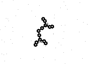 c1cc(-c2ccc(-c3cc(-c4ccc5ccccc5c4)nc(-c4ccc5ccccc5c4)c3)cc2)cc(-c2ccc(-c3cc(-c4ccc5ccccc5c4)nc(-c4ccc5ccccc5c4)c3)cc2)c1